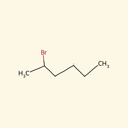 CC[CH]CC(C)Br